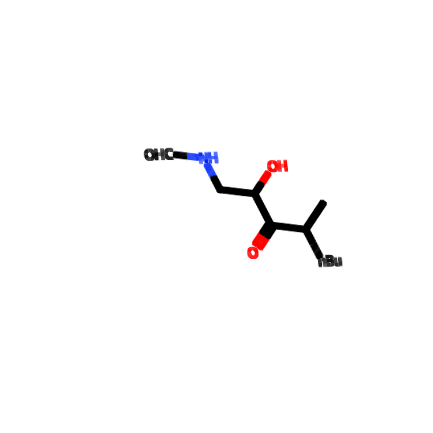 CCCCC(C)C(=O)C(O)CNC=O